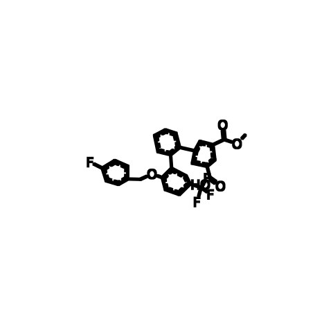 COC(=O)c1cc(C(=O)O)cc(-c2ccccc2-c2cc(C(F)(F)F)ccc2OCc2ccc(F)cc2)c1